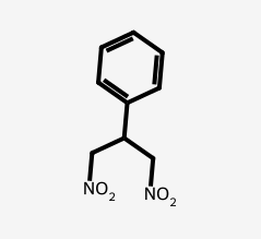 O=[N+]([O-])CC(C[N+](=O)[O-])c1ccccc1